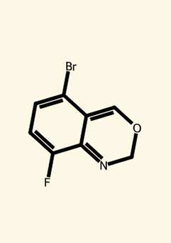 Fc1ccc(Br)c2c1=NCOC=2